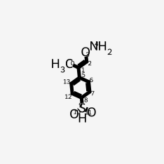 C/C(=C\ON)c1ccc([SH](=O)=O)cc1